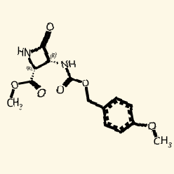 COC(=O)[C@@H]1NC(=O)[C@@H]1NC(=O)OCc1ccc(OC)cc1